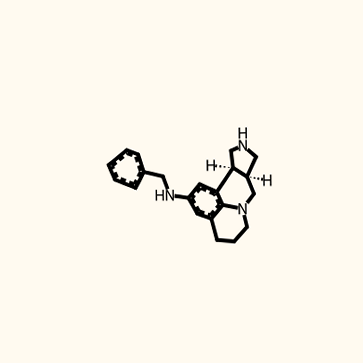 c1ccc(CNc2cc3c4c(c2)[C@H]2CNC[C@H]2CN4CCC3)cc1